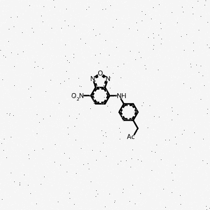 CC(=O)Cc1ccc(Nc2ccc([N+](=O)[O-])c3nonc23)cc1